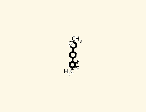 CC1=CCC(C2CCC(c3ccc(C)c(F)c3F)CC2)CO1